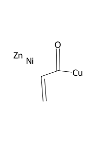 C=C[C](=O)[Cu].[Ni].[Zn]